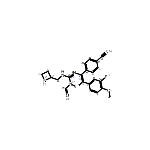 COc1ccc(/C(C)=C(/N=C(/NCC2CCN2)N(C)C=O)c2ccc(C#N)cc2)cc1F